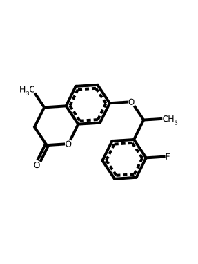 CC1CC(=O)Oc2cc(OC(C)c3ccccc3F)ccc21